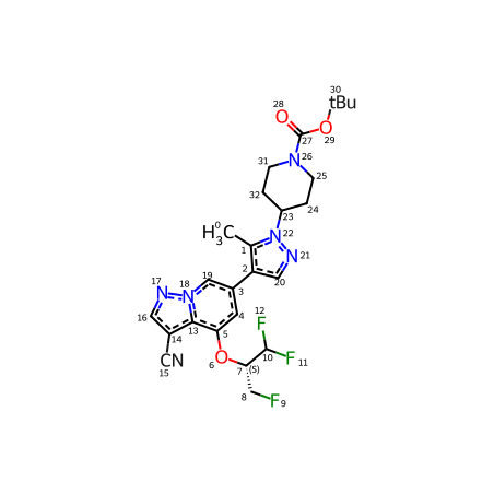 Cc1c(-c2cc(O[C@@H](CF)C(F)F)c3c(C#N)cnn3c2)cnn1C1CCN(C(=O)OC(C)(C)C)CC1